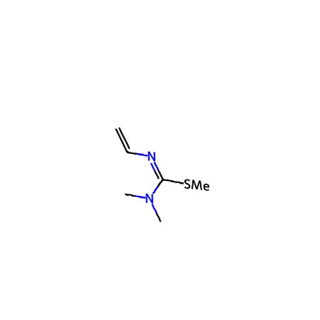 C=C/N=C(/SC)N(C)C